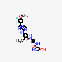 CCc1cc(Nc2nccn3c(-c4ccc(OC)c(F)c4F)cnc23)ccc1C(=O)NC12CC(NC(=O)[C@@H]3C[C@@H](O)CN3)(C1)C2